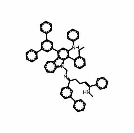 CCc1ccccc1-c1c(Nc2ccccc2)cc(-c2cc(-c3ccccc3)cc(-c3ccccc3)c2)c2c3ccccc3n(C/N=C(\CC/C=C(\NC)c3ccccc3)c3cccc(-c4ccccc4)c3)c12